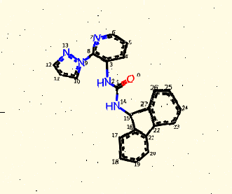 O=C(Nc1cccnc1-n1cccn1)NC1c2ccccc2-c2ccccc21